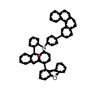 c1ccc(N(c2ccc(-c3ccc4ccc5ccc6ccccc6c5c4c3)cc2)c2ccc(-c3cccc4oc5ccccc5c34)cc2)c(-c2cccc3ccccc23)c1